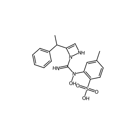 Cc1ccc(S(=O)(=O)O)c(N(O)C(=N)n2[nH]cc2C(C)c2ccccc2)c1